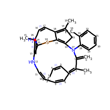 C=C1/C(C)=C(\C=C/C)/C=C\C=C/N/C2=C(C)/C=C\C3=C(C)CC(=C3SC2N)N1c1ccccc1C